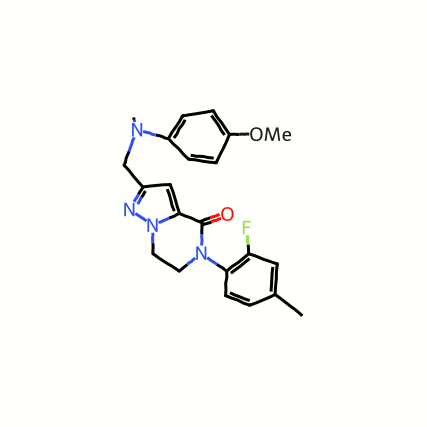 COc1ccc(N(C)Cc2cc3n(n2)CCN(c2ccc(C)cc2F)C3=O)cc1